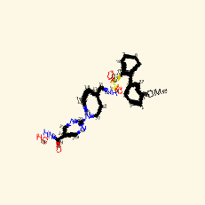 COc1cccc(-c2ccccc2S(=O)(=O)NCC2CCN(c3ncc(C(=O)NO)cn3)CC2)c1